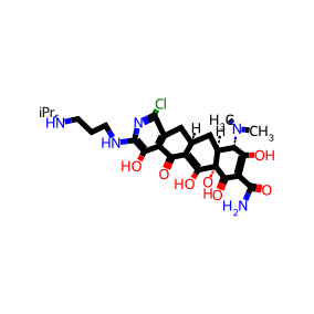 CC(C)NCCCNc1nc(Cl)c2c(c1O)C(=O)C1=C(O)[C@]3(O)C(=O)C(C(N)=O)=C(O)[C@@H](N(C)C)[C@@H]3C[C@@H]1C2